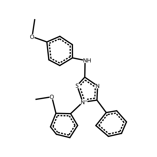 COc1ccc(Nc2nc(-c3ccccc3)[n+](-c3ccccc3OC)s2)cc1